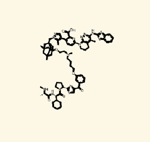 CN[C@@H](C)C(=O)N[C@H](C(=O)N1CCC[C@H]1c1nc(C(=O)c2cccc(OCCCCN(C)CCOC34CC5(C)CC(C)(CC(Cn6ncc(-c7ccc(N8CCCc9c8nnc(Nc8nc%10ccccc%10s8)c9C)nc7C(=O)O)c6C)(C5)C3)C4)c2)cs1)C1CCCCC1